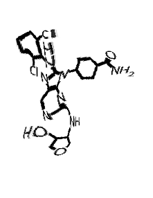 NC(=O)C1CCC(n2c(Nc3c(Cl)cccc3Cl)nc3cnc(NC4COCC4O)nc32)CC1